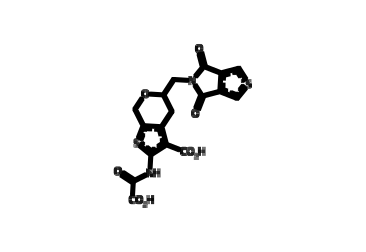 O=C(O)C(=O)Nc1sc2c(c1C(=O)O)CC(CN1C(=O)c3cscc3C1=O)OC2